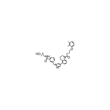 Cc1cccc(OCCCC(=O)N2CCCc3c(-c4cnn(Cc5cccc(C(=O)NCS(=O)(=O)O)c5)c4)cccc32)c1C